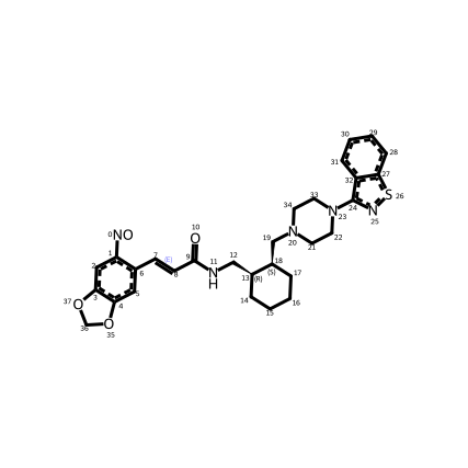 O=Nc1cc2c(cc1/C=C/C(=O)NC[C@@H]1CCCC[C@@H]1CN1CCN(c3nsc4ccccc34)CC1)OCO2